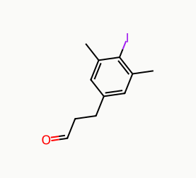 Cc1cc(CCC=O)cc(C)c1I